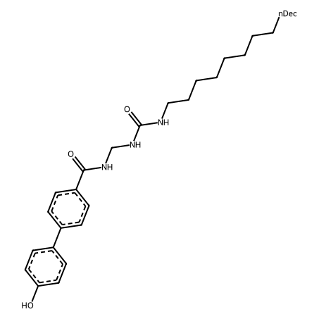 CCCCCCCCCCCCCCCCCCNC(=O)NCNC(=O)c1ccc(-c2ccc(O)cc2)cc1